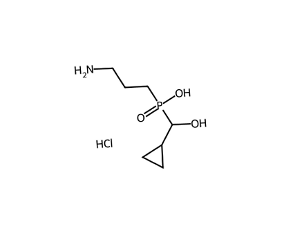 Cl.NCCCP(=O)(O)C(O)C1CC1